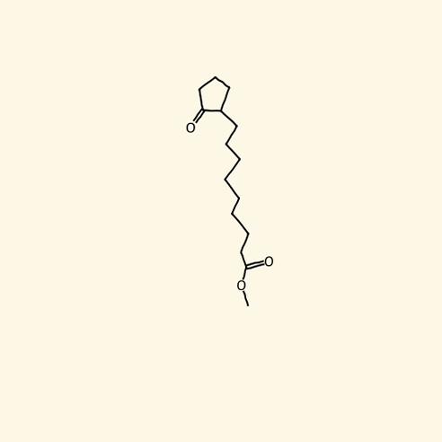 COC(=O)CCCCCCCCC1CCCC1=O